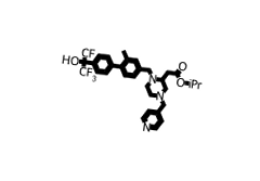 Cc1cc(CN2CCN(Cc3ccncc3)CC2CC(=O)OC(C)C)ccc1-c1ccc(C(O)(C(F)(F)F)C(F)(F)F)cc1